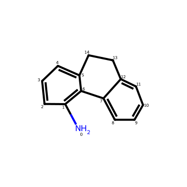 Nc1cccc2c1-c1ccccc1CC2